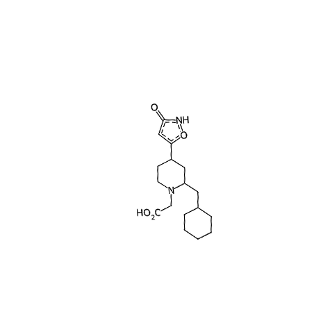 O=C(O)CN1CCC(c2cc(=O)[nH]o2)CC1CC1CCCCC1